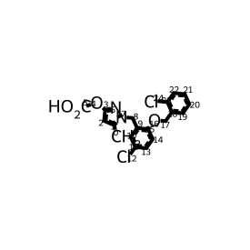 Cc1cc(OC(=O)O)nn1Cc1cc(Cl)ccc1OCc1ccccc1Cl